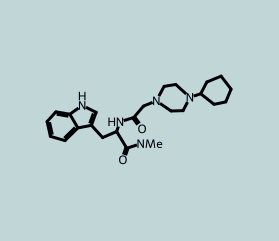 CNC(=O)C(Cc1c[nH]c2ccccc12)NC(=O)CN1CCN(C2CCCCC2)CC1